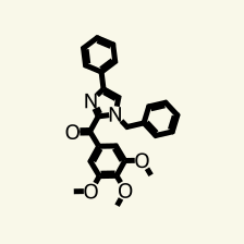 COc1cc(C(=O)c2nc(-c3ccccc3)cn2Cc2ccccc2)cc(OC)c1OC